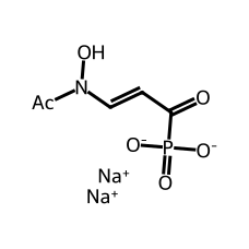 CC(=O)N(O)C=CC(=O)P(=O)([O-])[O-].[Na+].[Na+]